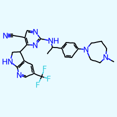 CC(Nc1ncc(C#N)c(C2CNc3ncc(C(F)(F)F)cc32)n1)c1ccc(N2CCCN(C)CC2)cc1